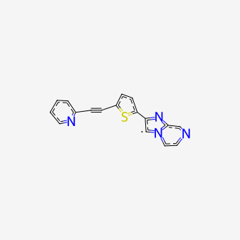 C(#Cc1ccc(-c2[c]n3ccncc3n2)s1)c1ccccn1